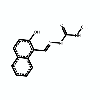 CNC(=O)N/N=C/c1c(O)ccc2ccccc12